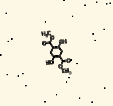 COC(=O)C1=C(O)CC(C(=O)OC)=C(O)C1